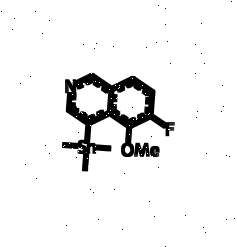 COc1c(F)ccc2cnc[c]([Sn]([CH3])([CH3])[CH3])c12